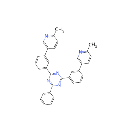 Cc1ccc(-c2cccc(-c3nc(-c4ccccc4)nc(-c4cccc(-c5ccc(C)nc5)c4)n3)c2)cn1